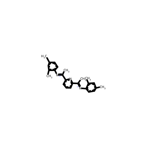 C/C(=N\c1ccc(C)cc1C)c1cccc(/C(C)=N/c2ccc(C)cc2C)n1